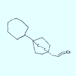 O=CC12CCC(C3CCCCC3)(CC1)CC2